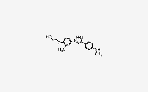 CNc1ccc(-c2cn(-c3ccc(OCCO)c(C)c3)nn2)cc1